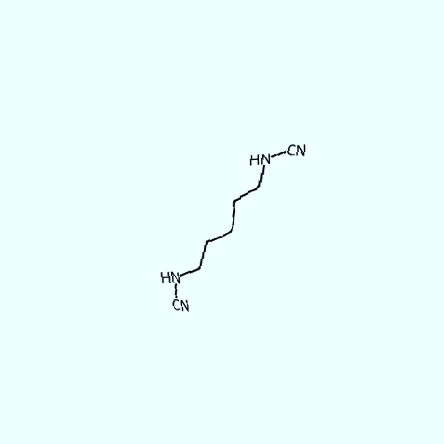 N#CNCCCCCNC#N